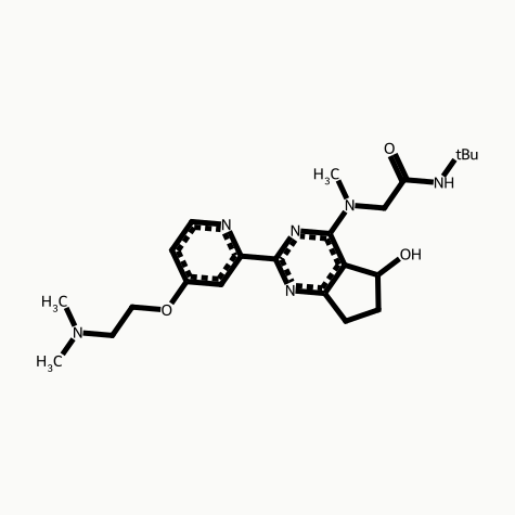 CN(C)CCOc1ccnc(-c2nc3c(c(N(C)CC(=O)NC(C)(C)C)n2)C(O)CC3)c1